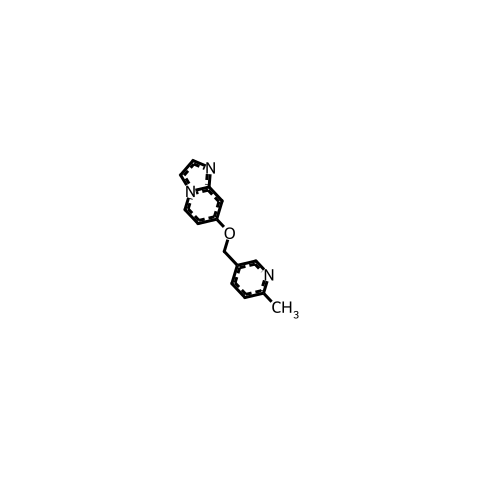 Cc1ccc(COc2ccn3ccnc3c2)cn1